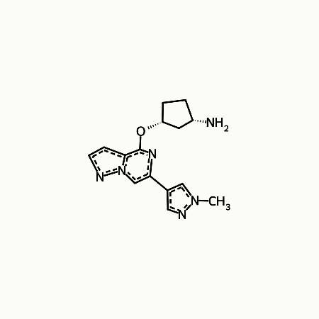 Cn1cc(-c2cn3nccc3c(O[C@@H]3CC[C@H](N)C3)n2)cn1